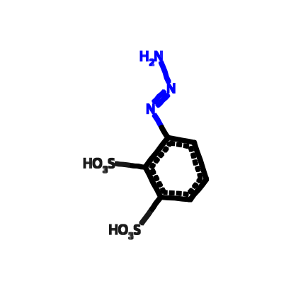 NN=Nc1cccc(S(=O)(=O)O)c1S(=O)(=O)O